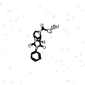 CC(C)(C)OC(=O)N1CC2CC1[C@@H]1C(=O)N(c3ccccc3)C(=O)N21